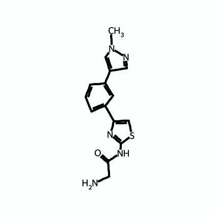 Cn1cc(-c2cccc(-c3csc(NC(=O)CN)n3)c2)cn1